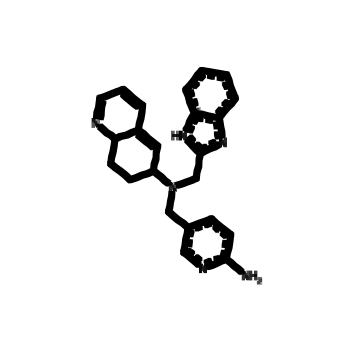 Nc1ccc(CN(Cc2nc3ccccc3[nH]2)C2C=C3C=CC=NC3CC2)cn1